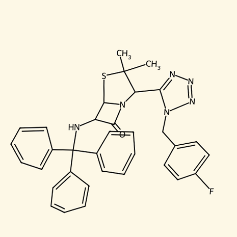 CC1(C)SC2C(NC(c3ccccc3)(c3ccccc3)c3ccccc3)C(=O)N2C1c1nnnn1Cc1ccc(F)cc1